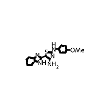 COc1ccc(Nc2nc(N)c(-c3nc4ccccc4[nH]3)s2)cc1